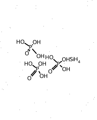 O=P(O)(O)O.O=P(O)(O)O.O=P(O)(O)O.[SiH4]